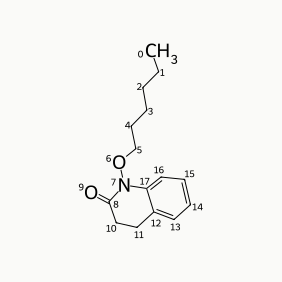 CCCCCCON1C(=O)CCc2ccccc21